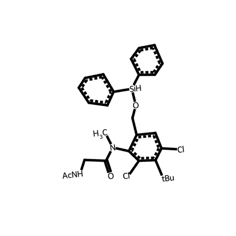 CC(=O)NCC(=O)N(C)c1c(CO[SiH](c2ccccc2)c2ccccc2)cc(Cl)c(C(C)(C)C)c1Cl